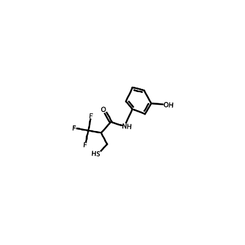 O=C(Nc1cccc(O)c1)C(CS)C(F)(F)F